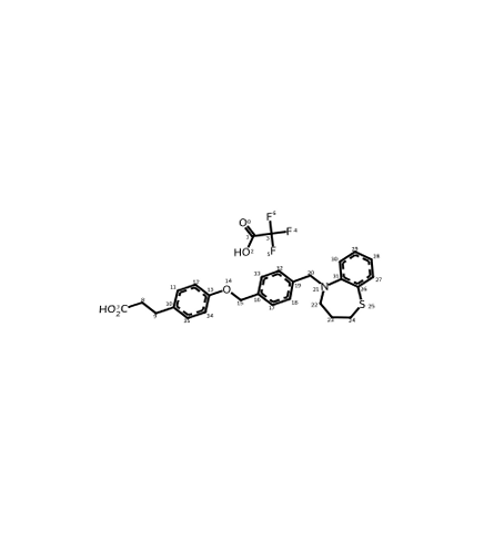 O=C(O)C(F)(F)F.O=C(O)CCc1ccc(OCc2ccc(CN3CCCSc4ccccc43)cc2)cc1